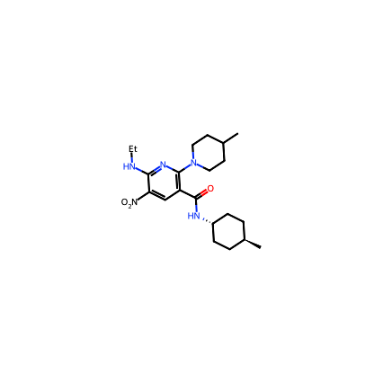 CCNc1nc(N2CCC(C)CC2)c(C(=O)N[C@H]2CC[C@H](C)CC2)cc1[N+](=O)[O-]